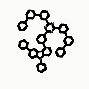 c1ccc(-c2cccc(-c3cccc(-c4nc(-c5cccc(-c6cccc(-c7ccccc7)c6)c5)nc(-c5cccc(-c6cccc7c6c6cc(-c8ccccc8)ccc6n7-c6ccccc6)c5)n4)c3)c2)cc1